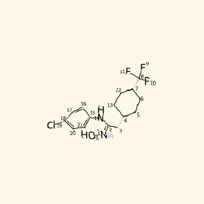 O/N=C(/C[C@H]1CC[C@@H](C(F)(F)F)CC1)Nc1ccc(Cl)cc1